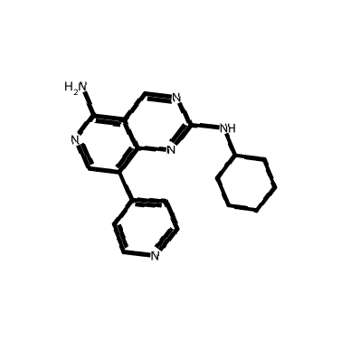 Nc1ncc(-c2ccncc2)c2nc(NC3CCCCC3)ncc12